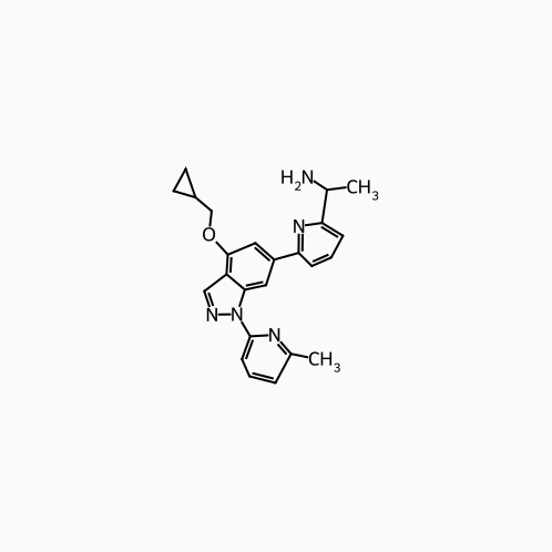 Cc1cccc(-n2ncc3c(OCC4CC4)cc(-c4cccc(C(C)N)n4)cc32)n1